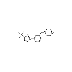 CC(C)(C)c1c[c]n(-c2cccc(CN3CCOCC3)c2)n1